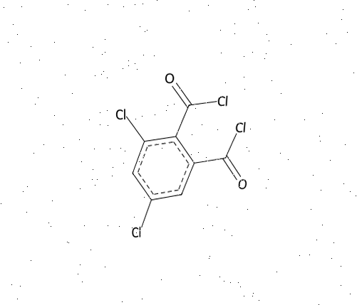 O=C(Cl)c1cc(Cl)cc(Cl)c1C(=O)Cl